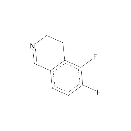 Fc1ccc2c(c1F)CCN=C2